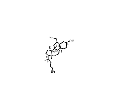 CC(C)CCC[C@@H](C)[C@H]1CC[C@H]2[C@@H]3CC(CBr)C4=C(CC[C@H](O)C4)[C@H]3CC[C@]12C